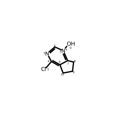 O[n+]1cnc(Cl)c2c1CCC2